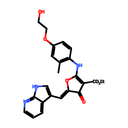 CCOC(=O)C1=C(Nc2ccc(OCCO)cc2C)O/C(=C\c2c[nH]c3ncccc23)C1=O